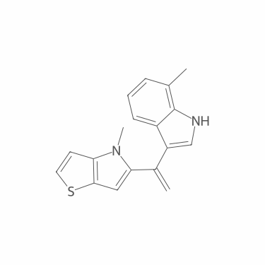 C=C(c1c[nH]c2c(C)cccc12)c1cc2sccc2n1C